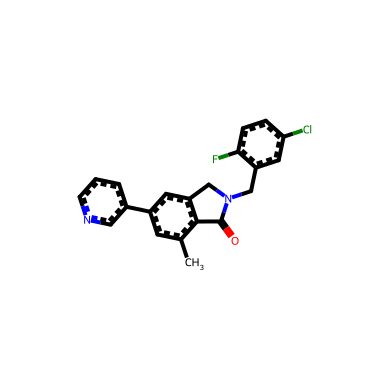 Cc1cc(-c2cccnc2)cc2c1C(=O)N(Cc1cc(Cl)ccc1F)C2